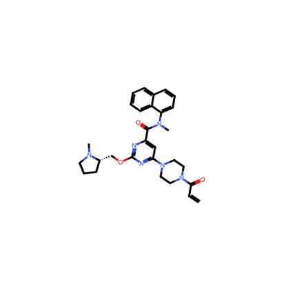 C=CC(=O)N1CCN(c2cc(C(=O)N(C)c3cccc4ccccc34)nc(OC[C@@H]3CCCN3C)n2)CC1